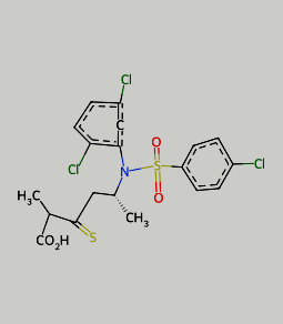 CC(C(=O)O)C(=S)C[C@@H](C)N(c1cc(Cl)ccc1Cl)S(=O)(=O)c1ccc(Cl)cc1